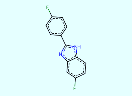 Fc1ccc(-c2nc3cc(F)ccc3[nH]2)cc1